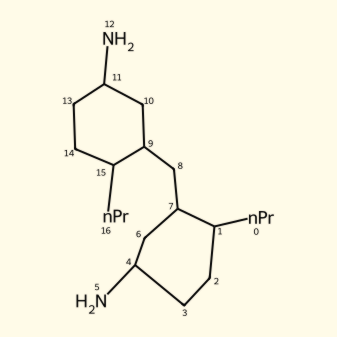 CCCC1CCC(N)CC1CC1CC(N)CCC1CCC